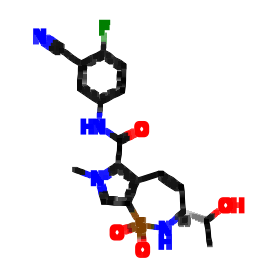 CC(O)[C@H]1C=Cc2c(cn(C)c2C(=O)Nc2ccc(F)c(C#N)c2)S(=O)(=O)N1